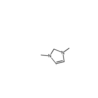 CN1[C]=CN(C)C1